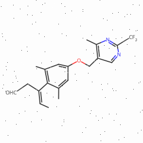 C/C=C(/CC=O)c1c(C)cc(OCc2cnc(C(F)(F)F)nc2C)cc1C